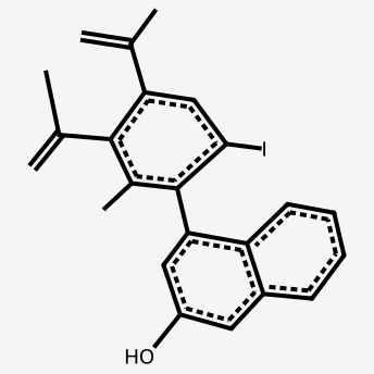 C=C(C)c1cc(I)c(-c2cc(O)cc3ccccc23)c(C)c1C(=C)C